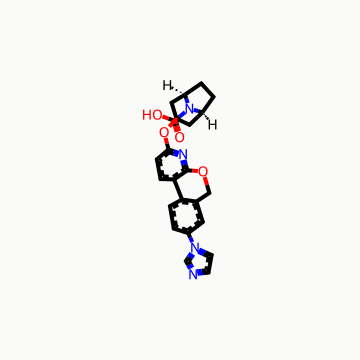 O=C(O)N1[C@@H]2CC[C@H]1CC(Oc1ccc3c(n1)OCc1cc(-n4ccnc4)ccc1-3)C2